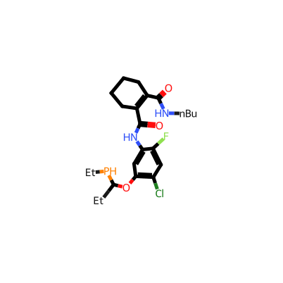 CCCCNC(=O)C1=C(C(=O)Nc2cc(OC(CC)PCC)c(Cl)cc2F)CCCC1